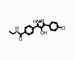 CCNC(=O)c1ccc(-c2[nH]nc(-c3ccc(Cl)cc3)c2O)cc1